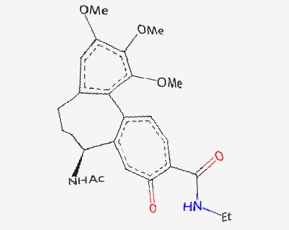 CCNC(=O)c1ccc2c(cc1=O)[C@@H](NC(C)=O)CCc1cc(OC)c(OC)c(OC)c1-2